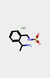 CC(N)c1ccccc1CN[SH](=O)=O.Cl